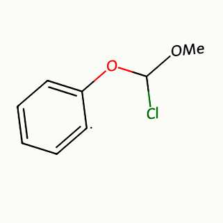 COC(Cl)Oc1[c]cccc1